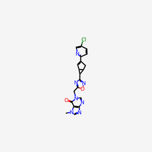 Cn1cnc2ncn(Cc3nc(C4C5C=C(c6ccc(Cl)cn6)CC54)no3)c(=O)c21